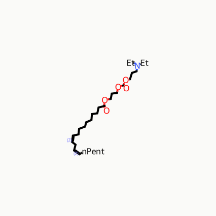 CCCCC/C=C\C/C=C\CCCCCCCCC(=O)OCCCOC(=O)OCCCN(CC)CC